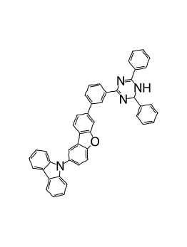 c1ccc(C2=NC(c3cccc(-c4ccc5c(c4)oc4ccc(-n6c7ccccc7c7ccccc76)cc45)c3)=NC(c3ccccc3)N2)cc1